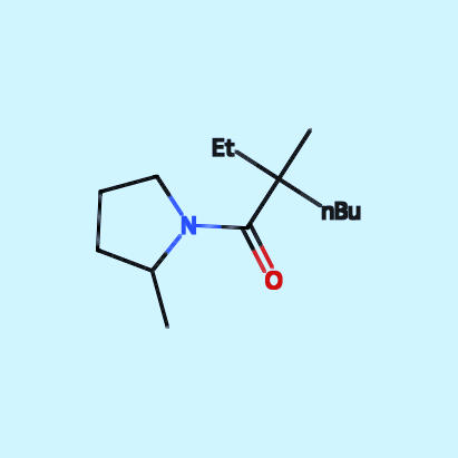 CCCCC(C)(CC)C(=O)N1CCCC1C